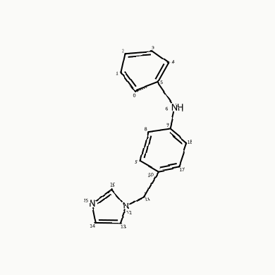 [c]1ccccc1Nc1ccc(Cn2ccnc2)cc1